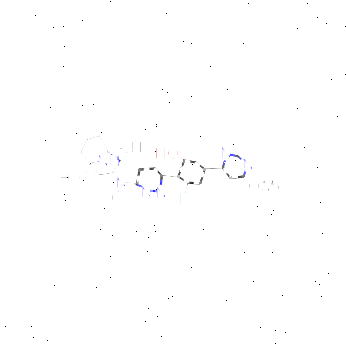 COc1cc(-c2cc(O)c(-c3ccc(N(C)[C@H]4C[C@]5(C)CCC[C@](C)(C4)N5)nn3)c(F)c2)ncn1